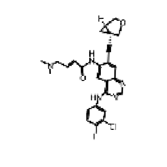 CN(C)C/C=C/C(=O)Nc1cc2c(Nc3ccc(F)c(Cl)c3)ncnc2cc1C#C[C@@]12COC[C@@H]1C2